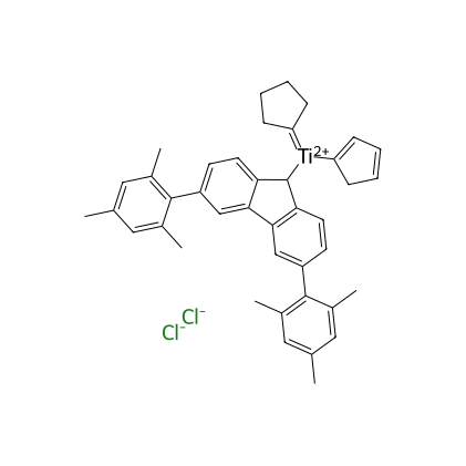 Cc1cc(C)c(-c2ccc3c(c2)-c2cc(-c4c(C)cc(C)cc4C)ccc2[CH]3[Ti+2]([C]2=CC=CC2)=[C]2CCCC2)c(C)c1.[Cl-].[Cl-]